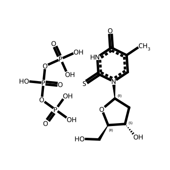 Cc1cn([C@H]2C[C@H](O)[C@@H](CO)O2)c(=S)[nH]c1=O.O=P(O)(O)OP(=O)(O)OP(=O)(O)O